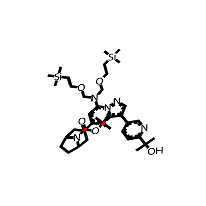 CC(C)(C)OC(=O)N1C2CCC1CC(c1cc(N(COCC[Si](C)(C)C)COCC[Si](C)(C)C)n3ncc(-c4ccc(C(C)(C)O)nc4)c3n1)C2